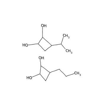 CC(C)C1CC(O)C1O.CCCC1CC(O)C1O